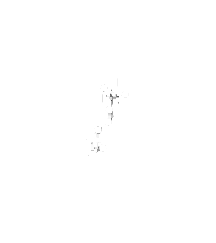 C1=CC2c3ccc(-c4ccc5oc6cc(C7N=C(c8ccccc8)NC(c8ccccc8)N7)ccc6c5c4)cc3SC2C(n2c3c(c4ccccc42)CCC=C3)=C1